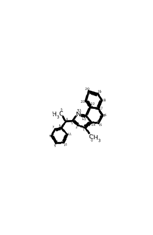 Cc1cc(C(C)c2ccccc2)nc2c1ccc1ccccc12